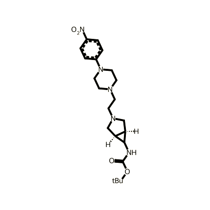 CC(C)(C)OC(=O)NC1[C@H]2CN(CCN3CCN(c4ccc([N+](=O)[O-])cc4)CC3)C[C@@H]12